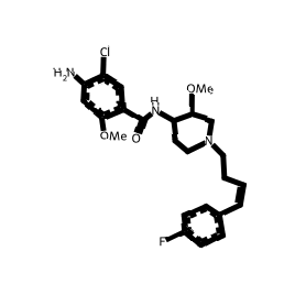 COc1cc(N)c(Cl)cc1C(=O)NC1CCN(CC/C=C\c2ccc(F)cc2)CC1OC